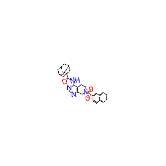 O=C(Nc1ncnc2c1CCN(S(=O)(=O)c1ccc3ccccc3c1)C2)C12CC3CC(CC(C3)C1)C2